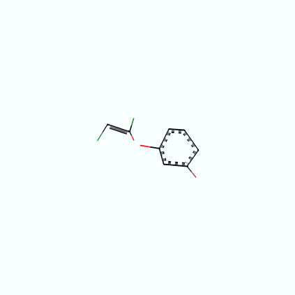 Cl/C=C(/Cl)Oc1cccc(Br)c1